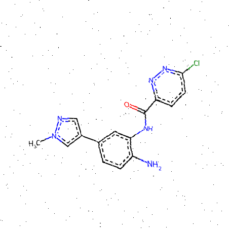 Cn1cc(-c2ccc(N)c(NC(=O)c3ccc(Cl)nn3)c2)cn1